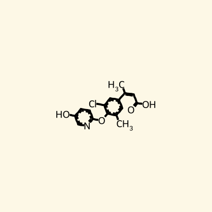 C/C(=C/C(=O)O)c1cc(C)c(Oc2ccc(O)cn2)c(Cl)c1